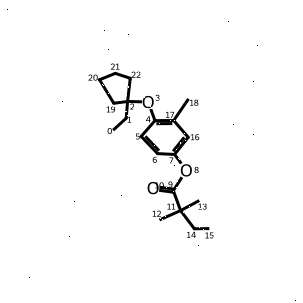 CCC1(Oc2ccc(OC(=O)C(C)(C)CC)cc2C)CCCC1